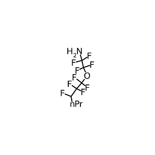 CCCC(F)C(F)(F)C(F)(F)OC(F)(F)C(N)(F)F